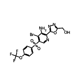 Nc1c(-c2nnc(CO)o2)ncc(S(=O)(=O)c2ccc(OC(F)(F)F)cc2)c1Br